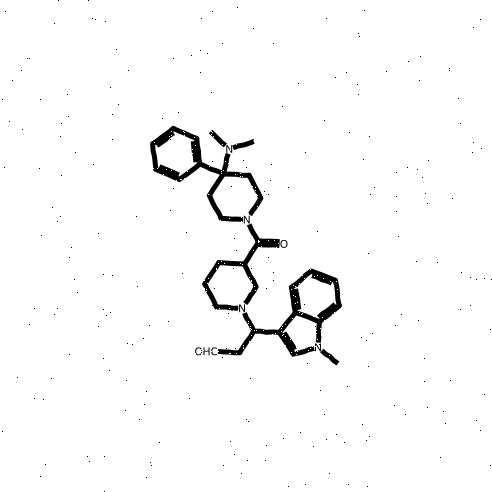 CN(C)C1(c2ccccc2)CCN(C(=O)C2CCCN(C(CC=O)c3cn(C)c4ccccc34)C2)CC1